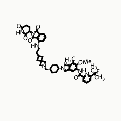 COc1c(NC(=O)c2cccc(C(C)(C)F)n2)cc2cn([C@H]3CC[C@H](CN4CC5(CC(CCNc6cccc7c6C(=O)N(C6CCC(=O)NC6=O)C7=O)C5)C4)CC3)nc2c1C